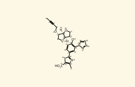 CC#CCO[C@H]1CO[C@H]2[C@@H]1OC[C@@H]2Oc1ccc(-c2nc(C)c(C(=O)O)s2)cc1-n1cnnn1